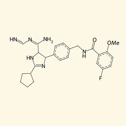 COc1ccc(F)cc1C(=O)NCc1ccc(C2N=C(C3CCCC3)NC2/C(N)=N\C=N)cc1